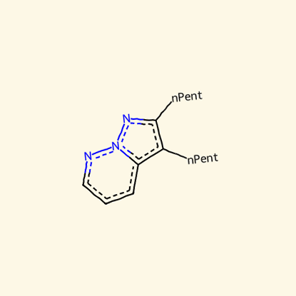 CCCCCc1nn2ncccc2c1CCCCC